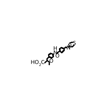 CC1Oc2cc(NC(=O)c3ccc(C=NN4CCSCC4)cc3)ccc2CC1CC(=O)O